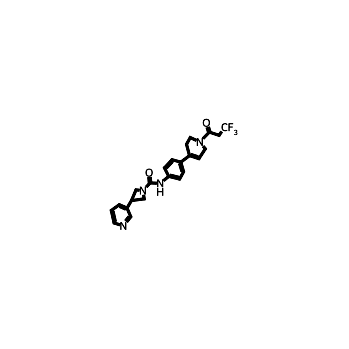 O=C(CC(F)(F)F)N1CC=C(c2ccc(NC(=O)N3CC(c4cccnc4)C3)cc2)CC1